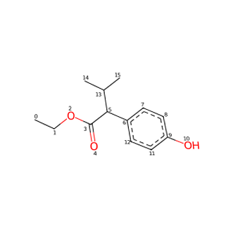 CCOC(=O)C(c1ccc(O)cc1)C(C)C